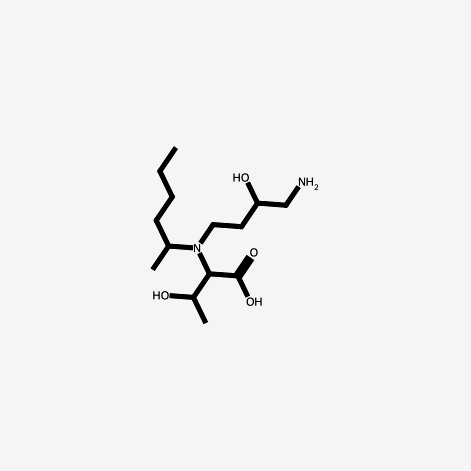 CCCCC(C)N(CCC(O)CN)C(C(=O)O)C(C)O